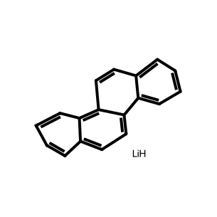 [LiH].c1ccc2c(c1)ccc1c3ccccc3ccc21